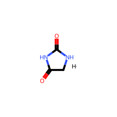 O=C1CNC(=O)N1.[H]